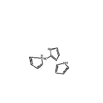 N#Cc1ccc[nH]1.c1cc[nH]c1.c1cc[nH]c1